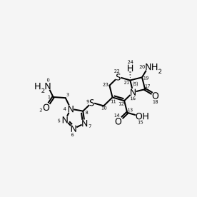 NC(=O)Cn1nnnc1SCC1=C(C(=O)O)N2C(=O)C(N)[C@@H]2SC1